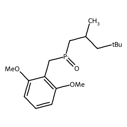 COc1cccc(OC)c1C[P](=O)CC(C)CC(C)(C)C